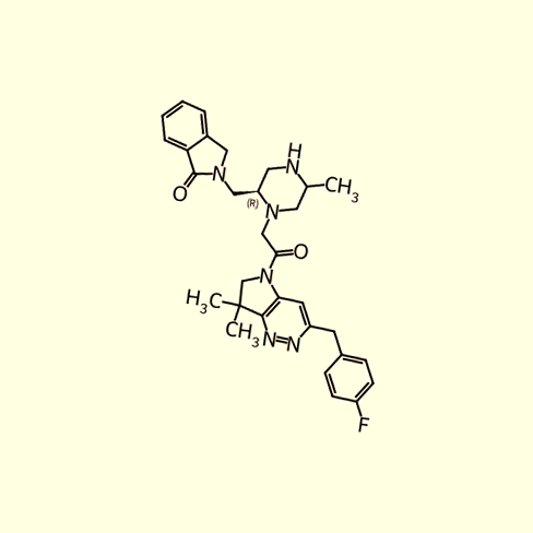 CC1CN(CC(=O)N2CC(C)(C)c3nnc(Cc4ccc(F)cc4)cc32)[C@@H](CN2Cc3ccccc3C2=O)CN1